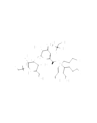 CCCCC(CCC)[N+](CCCC)(CCCC)OC(=O)C1O[C@@H](O[C@@H]2C(N)[C@H](C(C)(C)CC)OC(CO)[C@H]2O)[C@@H](O)C(O)[C@@H]1OC(C)(C)CC